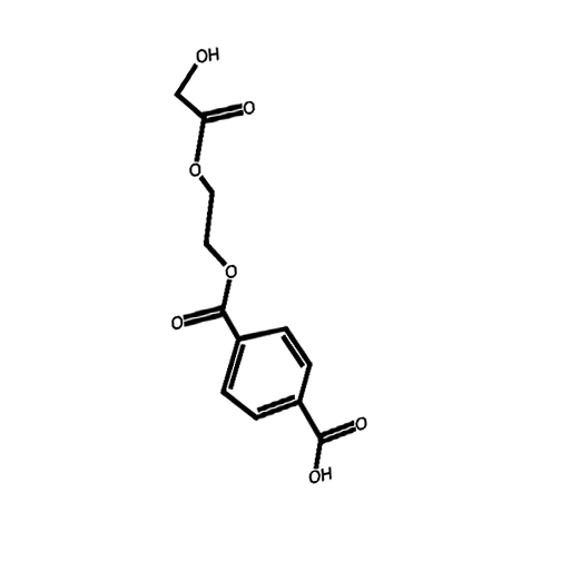 O=C(CO)OCCOC(=O)c1ccc(C(=O)O)cc1